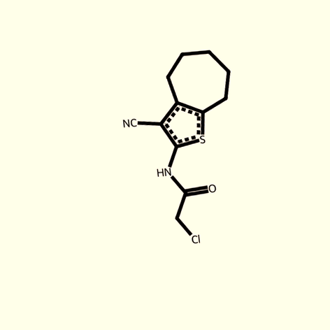 N#Cc1c(NC(=O)CCl)sc2c1CCCCC2